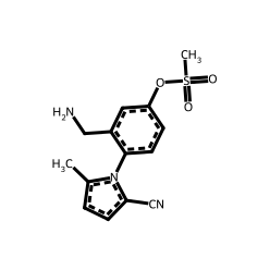 Cc1ccc(C#N)n1-c1ccc(OS(C)(=O)=O)cc1CN